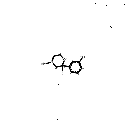 CCCN1CCO[C@](F)(c2cccc(O)c2)C1